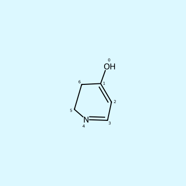 OC1=CC=NCC1